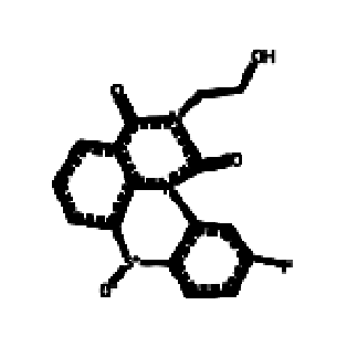 O=c1c2cccc3c2n(c(=O)n1CCO)-c1cc(F)ccc1[S+]3[O-]